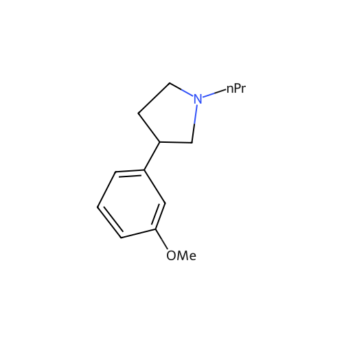 CCCN1CCC(c2cccc(OC)c2)C1